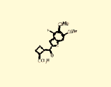 COc1cc2sc(C(=O)C3CCC3C(=O)O)cc2c(F)c1OC